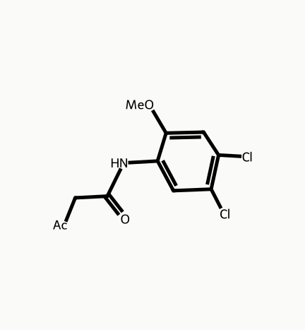 COc1cc(Cl)c(Cl)cc1NC(=O)CC(C)=O